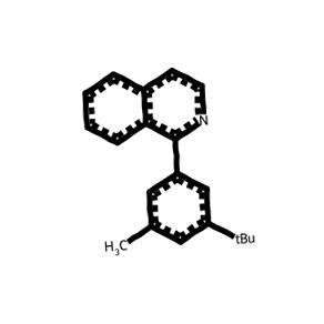 Cc1cc(-c2nccc3ccccc23)cc(C(C)(C)C)c1